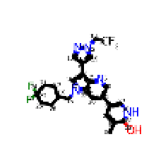 CC1=CC(c2cnc3c(-c4cnn(CC(F)(F)F)c4)cn(CC4CCC(F)(F)CC4)c3c2)=CNC1O